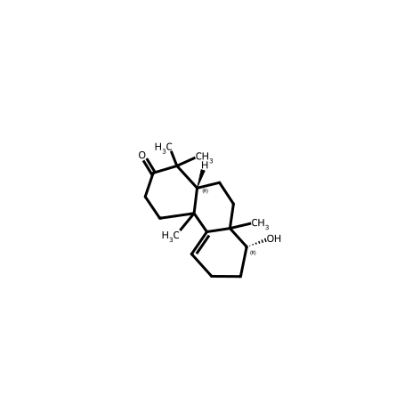 CC1(C)C(=O)CCC2(C)C3=CCC[C@@H](O)C3(C)CC[C@@H]12